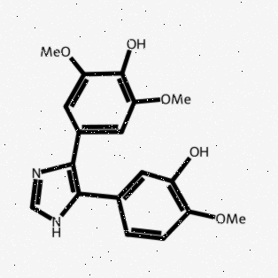 COc1ccc(-c2[nH]cnc2-c2cc(OC)c(O)c(OC)c2)cc1O